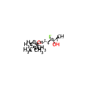 C#CC(O)/C(F)=C/CCO[Si](C)(C)C(C)(C)C